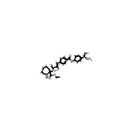 CCOC(=O)C1(NC(=O)/C(C)=C/c2ccc(C(=O)Oc3ccc(C(=N)N)cc3)cc2)CCCCCN1